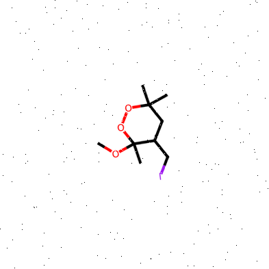 COC1(C)OOC(C)(C)CC1CI